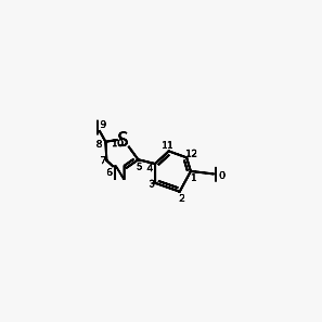 Ic1ccc(C2=NCC(I)S2)cc1